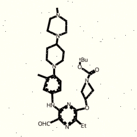 CCc1nc(C=O)c(Nc2ccc(N3CCC(N4CCN(C)CC4)CC3)c(C)c2)nc1OC1CN(C(=O)OC(C)(C)C)C1